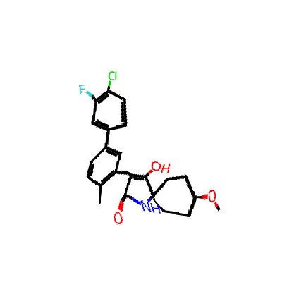 CO[C@H]1CC[C@@]2(CC1)NC(=O)C(c1cc(-c3ccc(Cl)c(F)c3)ccc1C)=C2O